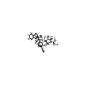 COC1(c2ccc(C#N)c(O[C@@H]3OC(C(=O)O)[C@@H](O)C(O)[C@@H]3O)c2)OOC12C1CCCC2C2=C(CCCC2)C1